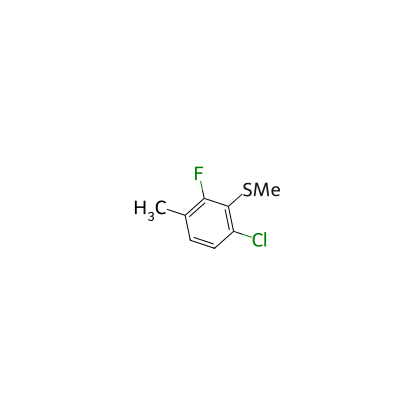 CSc1c(Cl)ccc(C)c1F